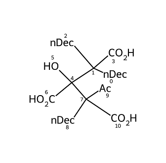 CCCCCCCCCCC(CCCCCCCCCC)(C(=O)O)C(O)(C(=O)O)C(CCCCCCCCCC)(C(C)=O)C(=O)O